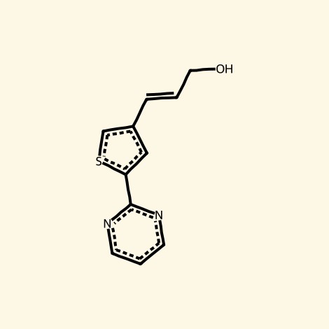 OCC=Cc1csc(-c2ncccn2)c1